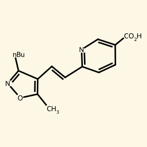 CCCCc1noc(C)c1/C=C/c1ccc(C(=O)O)cn1